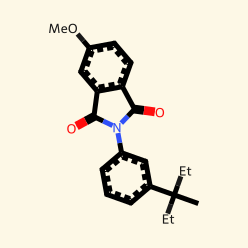 CCC(C)(CC)c1cccc(N2C(=O)c3ccc(OC)cc3C2=O)c1